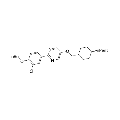 CCCCC[C@H]1CC[C@H](COc2cnc(-c3ccc(OCCCC)c(Cl)c3)nc2)CC1